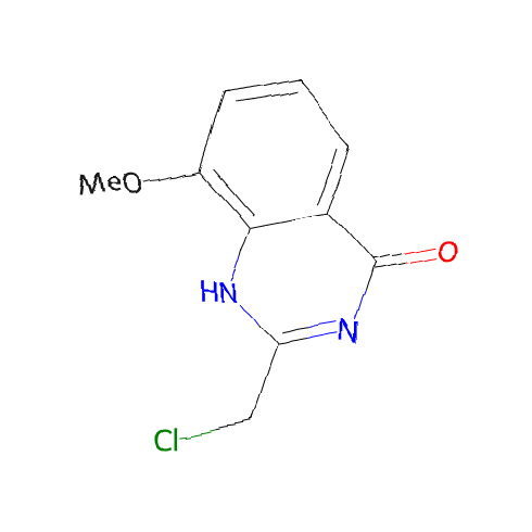 COc1cccc2c(=O)nc(CCl)[nH]c12